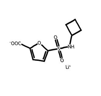 O=C([O-])c1ccc(S(=O)(=O)NC2CCC2)o1.[Li+]